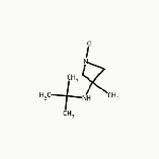 CC(C)(C)NC1(C)CN(Cl)C1